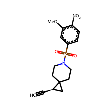 C#C[C@@H]1CC12CCN(S(=O)(=O)c1ccc([N+](=O)[O-])c(OC)c1)CC2